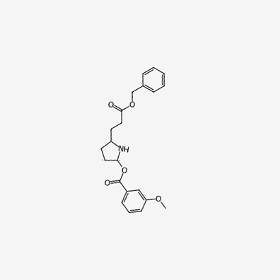 COc1cccc(C(=O)O[C]2[CH]CC(CCC(=O)OCc3ccccc3)N2)c1